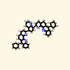 c1ccc(-c2c3ccccc3nc3c2ccc2ccc(-c4ccc(-c5ccc6ccc7c(-c8ccccc8)c8ccccc8nc7c6n5)c5ncccc45)nc23)cc1